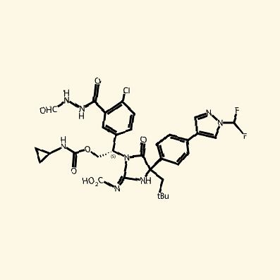 CC(C)(C)CC1(c2ccc(-c3cnn(C(F)F)c3)cc2)NC(=NC(=O)O)N([C@H](COC(=O)NC2CC2)c2ccc(Cl)c(C(=O)NNC=O)c2)C1=O